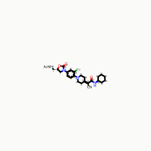 CC(=O)NC[C@H]1CN(c2ccc(N3CCC(=C(C#N)C(=O)NC4CCCCC4)CC3)c(F)c2)C(=O)O1